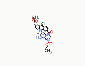 CCCOC(=O)N1CCN(C(=O)c2ccc3c(Cl)c4c(nc3c2)CCC(CC(=O)OC)C4)C(CC)[C@H](N)C1